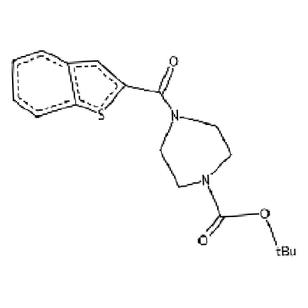 CC(C)(C)OC(=O)N1CCN(C(=O)c2cc3ccccc3s2)CC1